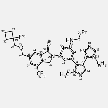 CC(C)CNc1cc(-c2c(-c3nncn3C)cnn2C)cc(N2Cc3c(cc(COCC4(F)CCC4)cc3C(F)(F)F)C2=O)n1